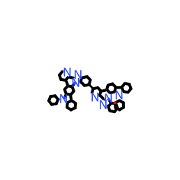 c1ccc(-n2c3ccccc3c3cc4c(cc32)c2cccnc2c2nc3ccc(-c5cnc6c(c5)c5ccc7c8ccccc8n(-c8ccccc8)c7c5n5c7ccccc7nc65)cc3n42)cc1